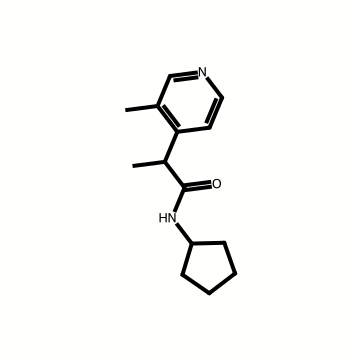 Cc1cnccc1C(C)C(=O)NC1CCCC1